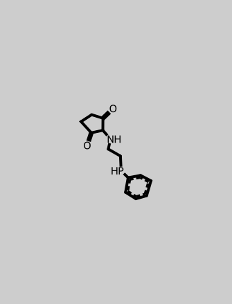 O=C1CCC(=O)C1NCCPc1ccccc1